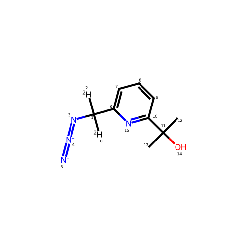 [2H]C([2H])(N=[N+]=[N-])c1cccc(C(C)(C)O)n1